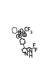 O=C(ON(C1CCCCC1)S(=O)(=O)c1ccc(-c2ccnc3[nH]c(C(F)F)cc23)cc1)C(F)(F)F